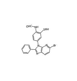 CSc1cc(-n2c(-c3ccccc3)nc3ccc(Br)nc32)ccc1NC=O